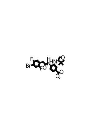 COC(=O)c1ccc(NC(=O)Cc2cc(F)c(Br)cc2F)c(N[C@@H]2COCC2(C)C)c1